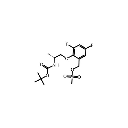 C[C@H](COc1c(F)cc(F)cc1COS(C)(=O)=O)NC(=O)OC(C)(C)C